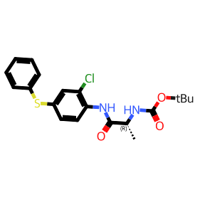 C[C@@H](NC(=O)OC(C)(C)C)C(=O)Nc1ccc(Sc2ccccc2)cc1Cl